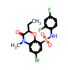 CCC1Oc2c(cc(Br)cc2S(=O)(=O)Nc2ccc(F)cc2F)N(C)C1=O